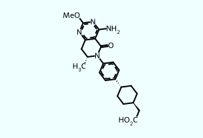 COc1nc(N)c2c(n1)C[C@@H](C)N(c1ccc([C@H]3CC[C@H](CC(=O)O)CC3)cc1)C2=O